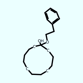 OC1(OCCc2ccccc2)CCCCCCCCCCC1